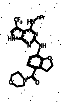 CCCNc1nc(Nc2ccc(C(=O)N3CCOCC3)c3c2OCC3)nc2[nH]cc(C(F)(F)F)c12